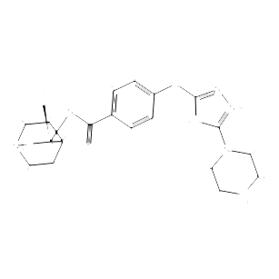 O=C(N[C@H]1CN2CCC1CC2)c1ccc(Sc2nnc(N3CCOCC3)o2)cc1